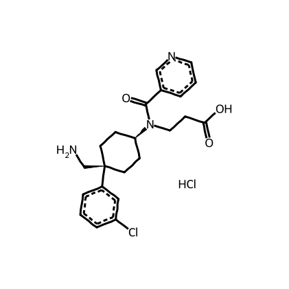 Cl.NC[C@]1(c2cccc(Cl)c2)CC[C@H](N(CCC(=O)O)C(=O)c2cccnc2)CC1